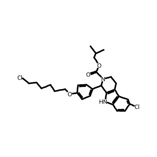 CC(C)COC(=O)N1CCc2c([nH]c3ccc(Cl)cc23)C1c1ccc(OCCCCCCCl)cc1